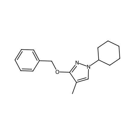 Cc1cn(C2CCCCC2)nc1OCc1ccccc1